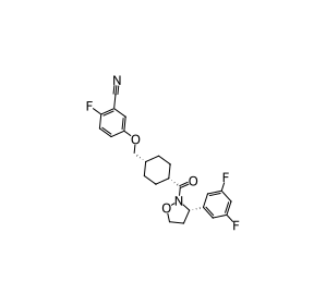 N#Cc1cc(OC[C@H]2CC[C@@H](C(=O)N3OCC[C@H]3c3cc(F)cc(F)c3)CC2)ccc1F